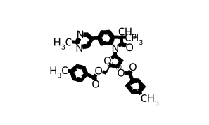 Cc1ccc(C(=O)OC[C@H]2OC(N3C(=O)C(C)(C)c4ccc(-c5cnc(C)nc5)cc43)C[C@@H]2OC(=O)c2ccc(C)cc2)cc1